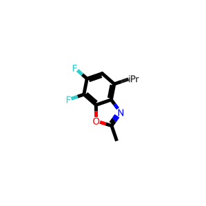 Cc1nc2c(C(C)C)cc(F)c(F)c2o1